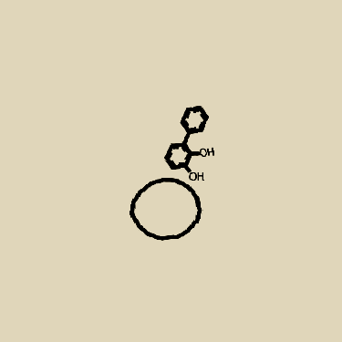 C1CCCCCCCCCCCCCC1.Oc1cccc(-c2ccccc2)c1O